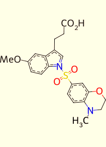 COc1ccc2c(c1)c(CCC(=O)O)cn2S(=O)(=O)c1ccc2c(c1)OCCN2C